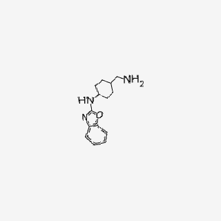 NCC1CCC(Nc2nc3ccccc3o2)CC1